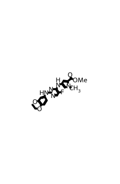 COC(=O)c1cc(Nc2nc(Nc3ccc4c(c3)OCCO4)ncc2F)cn1C